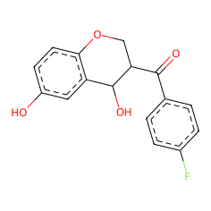 O=C(c1ccc(F)cc1)C1COc2ccc(O)cc2C1O